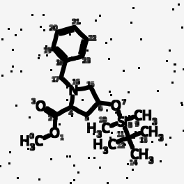 COC(=O)C1CC(O[Si](C)(C)C(C)(C)C)CN1Cc1ccccc1